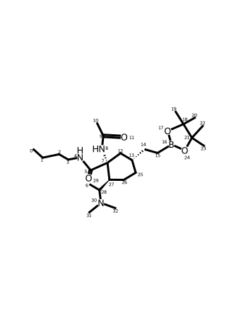 CCCCNC(=O)[C@@]1(NC(C)=O)C[C@H](CCB2OC(C)(C)C(C)(C)O2)CC[C@H]1C(C)N(C)C